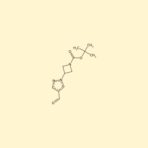 CC(C)(C)OC(=O)N1CC(n2cc(C=O)cn2)C1